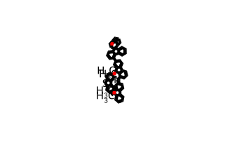 CC1(C)c2ccccc2-c2ccc(N(c3cccc4c3C(C)(C)c3cc(-c5cccc6c5-c5ccccc5C65C6CC7CC(C6)CC5C7)ccc3-4)c3cccc4sc5ccccc5c34)cc21